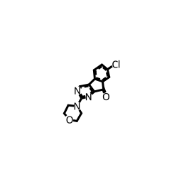 O=C1c2cc(Cl)ccc2-c2cnc(N3CCOCC3)nc21